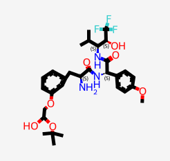 COc1ccc([C@H](NC(=O)[C@@H](N)Cc2cccc(OCC(O)OC(C)(C)C)c2)C(=O)N[C@@H](C(C)C)[C@H](O)C(F)(F)F)cc1